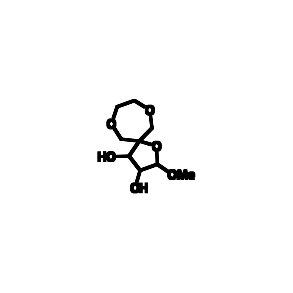 COC1OC2(COCCOC2)C(O)C1O